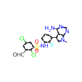 Cn1cc(-c2cccc(NS(=O)(=O)c3cc(Cl)cc(C=O)c3Cl)c2F)c2c(N)ncnc21